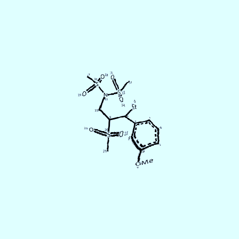 CCC(c1cccc(OC)c1)C(CN(S(C)(=O)=O)S(C)(=O)=O)S(C)(=O)=O